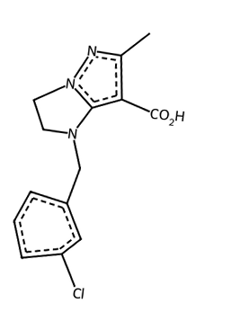 Cc1nn2c(c1C(=O)O)N(Cc1cccc(Cl)c1)CC2